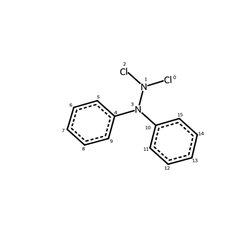 ClN(Cl)N(c1ccccc1)c1ccccc1